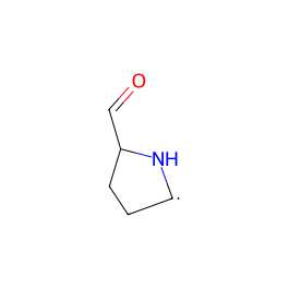 O=CC1CC[CH]N1